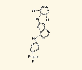 FC(F)(F)c1ccc(Nc2ncnc3sc(Nc4c(Cl)cncc4Cl)nc23)cc1